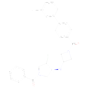 O=C(c1ccc(-c2cccc(C(F)(F)F)c2)cc1)N1CC(N[C@H]2CN(C(=O)c3ccccc3)CC2F)C1